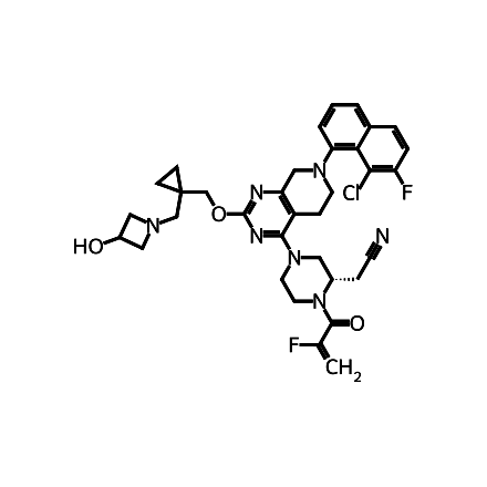 C=C(F)C(=O)N1CCN(c2nc(OCC3(CN4CC(O)C4)CC3)nc3c2CCN(c2cccc4ccc(F)c(Cl)c24)C3)C[C@@H]1CC#N